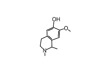 COc1cc2c(cc1O)CCN(C)C2C